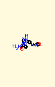 CN(CCN1CCOCC1)c1ccc(Nc2nccc(-n3cc(C(N)=O)c4ccccc43)n2)cc1